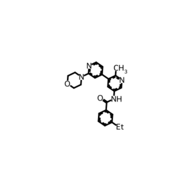 CCc1cccc(C(=O)Nc2cnc(C)c(-c3ccnc(N4CCOCC4)c3)c2)c1